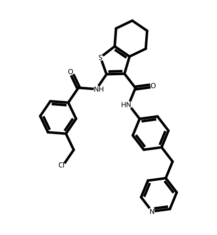 O=C(Nc1sc2c(c1C(=O)Nc1ccc(Cc3ccncc3)cc1)CCCC2)c1cccc(CCl)c1